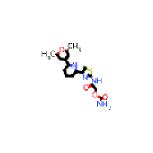 C[C@@H]1C=C(c2cccc(-c3csc(NC(=O)COC(N)=O)n3)n2)C[C@H](C)O1